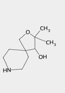 CC1(C)OCC2(CCNCC2)C1O